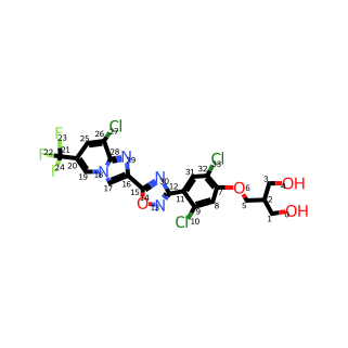 OCC(CO)COc1cc(Cl)c(-c2noc(-c3cn4cc(C(F)(F)F)cc(Cl)c4n3)n2)cc1Cl